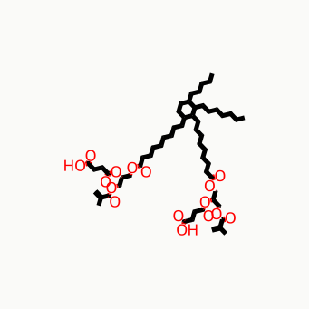 C=C(C)C(=O)OCC(COC(=O)CCCCCCCCC1CCC(CCCCC)C(CCCCCCC)C1CCCCCCCCC(=O)OCC(COC(=O)C(=C)C)OC(=O)CCC(=O)O)OC(=O)CCC(=O)O